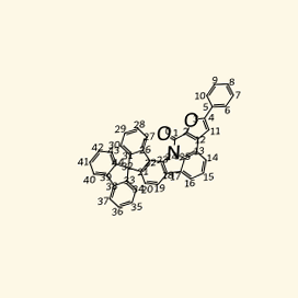 O=c1c2oc(-c3ccccc3)cc2c2cccc3c4ccc5c(c4n1c23)-c1ccccc1C51c2ccccc2-c2ccccc21